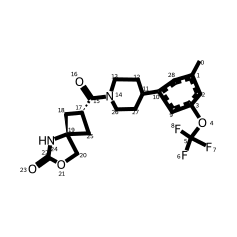 Cc1cc(OC(F)(F)F)cc(C2CCN(C(=O)[C@H]3C[C@]4(COC(=O)N4)C3)CC2)c1